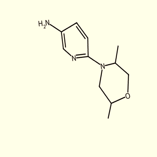 CC1CN(c2ccc(N)cn2)C(C)CO1